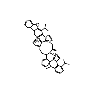 C=C1C[n+]2ccn(-c3c(C(C)C)cc4c(oc5ccccc54)c3C(C)C)c2-c2ccccc2CCC2c3ccccc3C3=[N+](C=CC3c3c(C(C)C)cccc3C(C)C)C12